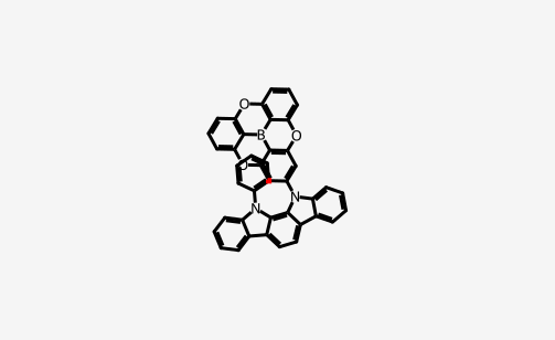 c1ccc(-n2c3ccccc3c3ccc4c5ccccc5n(-c5cc6c7c(c5)Oc5cccc8c5B7c5c(cccc5O6)O8)c4c32)cc1